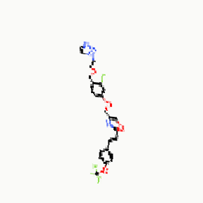 Fc1cc(OCc2coc(C=Cc3ccc(OC(F)(F)F)cc3)n2)ccc1COCCn1ccnn1